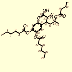 CCCCCC(=O)Oc1ccc(C(CC(C)OC(=O)CCC)[C@H](N)C(=O)O)cc1OC(=O)CCCCC